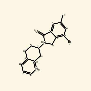 Cc1cc(Br)c2c(c1)C(=O)N(C1CCc3cccnc3C1)C2